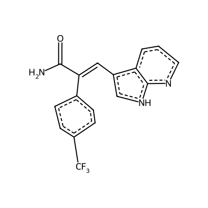 NC(=O)C(=Cc1c[nH]c2ncccc12)c1ccc(C(F)(F)F)cc1